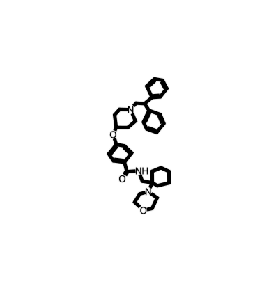 O=C(NCC1(N2CCOCC2)CCCCC1)c1ccc(OC2CCN(CC(c3ccccc3)c3ccccc3)CC2)cc1